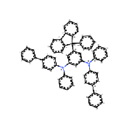 c1ccc(-c2ccc(N(c3ccccc3)c3cc(N(c4ccccc4)c4ccc(-c5ccccc5)cc4)cc(C4(c5ccccc5)c5ccccc5-c5ccccc54)c3)cc2)cc1